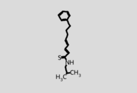 CC(C)CNC(=S)C=CC=CCCCc1ccccc1